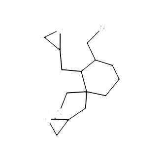 NCC1CCCC(CN)(CC2CO2)C1CC1CO1